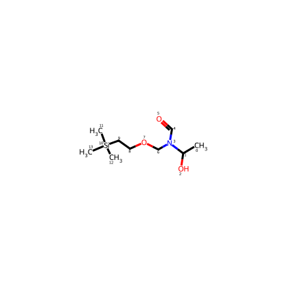 CC(O)N(C=O)COCC[Si](C)(C)C